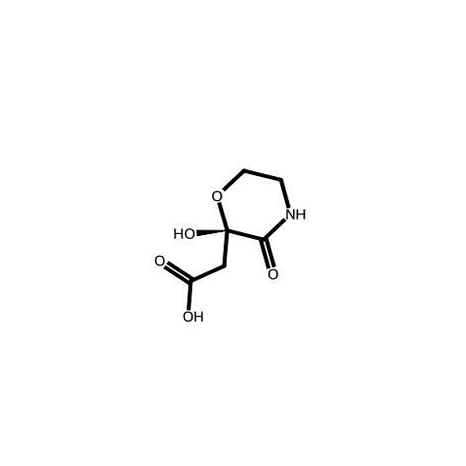 O=C(O)C[C@]1(O)OCCNC1=O